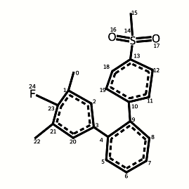 Cc1cc(-c2ccccc2-c2ccc(S(C)(=O)=O)cc2)cc(C)c1F